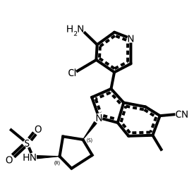 Cc1cc2c(cc1C#N)c(-c1cncc(N)c1Cl)cn2[C@H]1CC[C@@H](NS(C)(=O)=O)C1